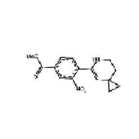 COC(=O)c1ccc(C2=CC3(CCN2)CC3)c([N+](=O)[O-])c1